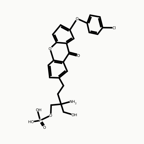 NC(CO)(CCc1ccc2oc3ccc(Oc4ccc(Cl)cc4)cc3c(=O)c2c1)COP(=O)(O)O